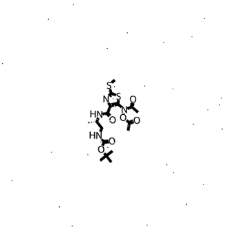 CSc1nc(C(=O)N[C@@H](C)CNC(=O)OC(C)(C)C)c(N(OC(C)=O)C(C)=O)s1